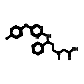 Cc1ccc(Oc2cnc(NC(CCN(C)CC(=O)O)c3ccccc3)nc2)cc1